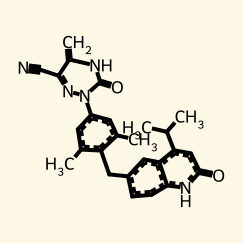 C=C1NC(=O)N(c2cc(C)c(Cc3ccc4[nH]c(=O)cc(C(C)C)c4c3)c(C)c2)N=C1C#N